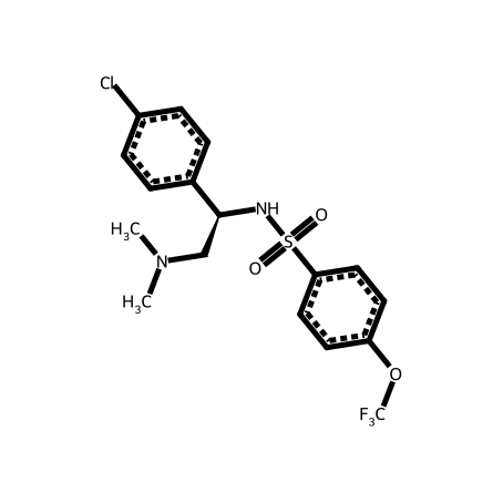 CN(C)C[C@H](NS(=O)(=O)c1ccc(OC(F)(F)F)cc1)c1ccc(Cl)cc1